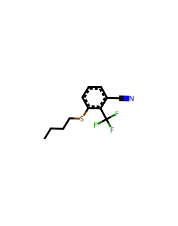 CCCCSc1cccc(C#N)c1C(F)(F)F